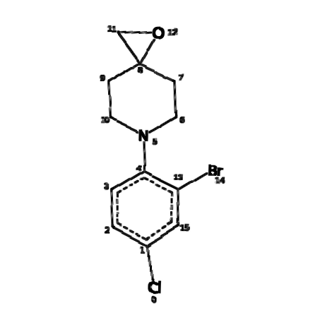 Clc1ccc(N2CCC3(CC2)CO3)c(Br)c1